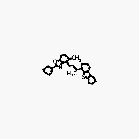 C=c1ccc2oc(-c3ccccc3)nc2/c1=C/C=C(\C)c1cccc2c1sc1ccccc12